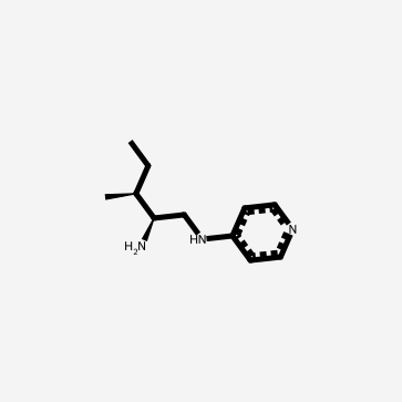 CC[C@H](C)[C@H](N)CNc1ccncc1